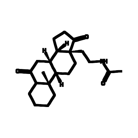 CC(=O)NCC[C@]12CC[C@H]3[C@@H](CC(=O)C4CCCC[C@@]43C)[C@@H]1CCC2=O